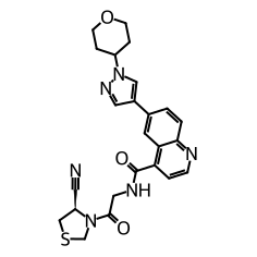 N#C[C@@H]1CSCN1C(=O)CNC(=O)c1ccnc2ccc(-c3cnn(C4CCOCC4)c3)cc12